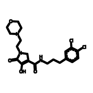 O=C(NCCCc1ccc(Cl)c(Cl)c1)C1=C(O)C(=O)N(CCN2CCOCC2)C1